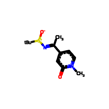 CC(=N[S+]([O-])C(C)(C)C)c1ccn(C)c(=O)c1